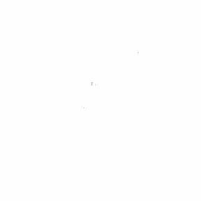 N#Cc1ccc2c(c1)[nH]c1[nH]c3c(F)cccc3c(=O)c12